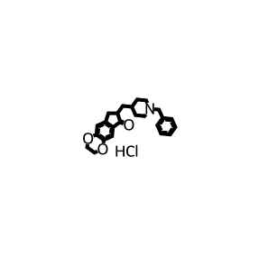 Cl.O=C1c2cc3c(cc2CC1CC1CCN(Cc2ccccc2)CC1)OCCO3